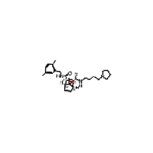 Cc1ccc(C)c(CNC(=O)[C@H]2[C@H](C(=O)NCCCCN3CCCC3)[C@H]3C=C[C@@H]2C32CC2)c1